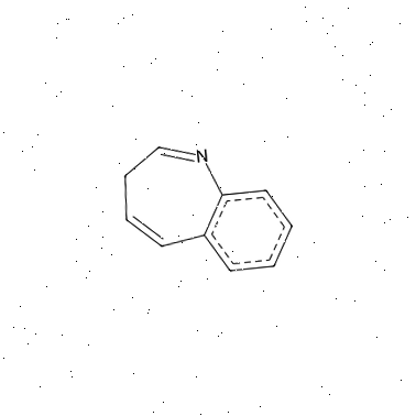 C1=Cc2ccccc2N=CC1